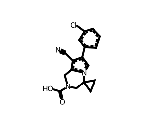 N#Cc1c(-c2cccc(Cl)c2)cn2c1CN(C(=O)O)CC21CC1